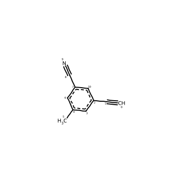 C#Cc1cc(C)cc(C#N)c1